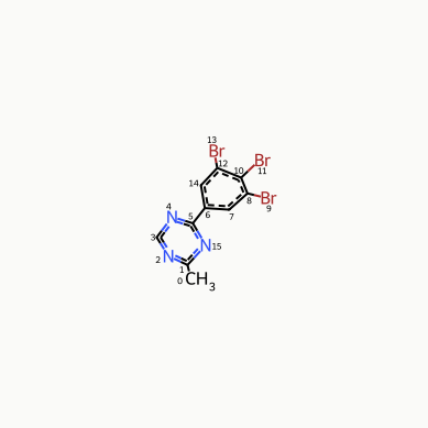 Cc1ncnc(-c2cc(Br)c(Br)c(Br)c2)n1